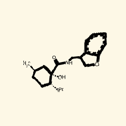 CC(C)[C@@H]1CC[C@@H](C)C[C@@]1(O)C(=O)NCC1COc2ccccc21